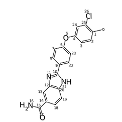 Cc1ccc(Oc2ccc(-c3nc4cc(C(N)=O)ccc4[nH]3)cc2)cc1Cl